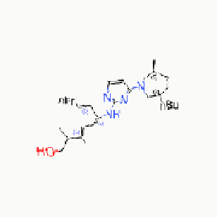 CCC/C=C/C(=C\C=C(/C)C(C)CO)Nc1nccc(N2C[C@@H](C)CC[C@@H](CCCC)C2)n1